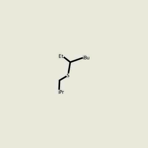 CCC(C)C(CC)SCC(C)C